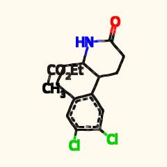 CCOC(C)=O.O=C1CCC2c3cc(Cl)c(Cl)cc3CCC2N1